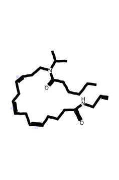 C=CCNC(=O)CCC/C=C\C/C=C\C/C=C\CCN(C(=O)CCCCC)C(C)C